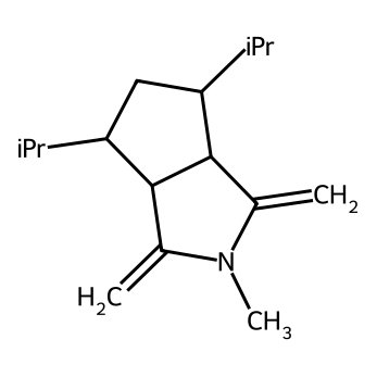 C=C1C2C(C(C)C)CC(C(C)C)C2C(=C)N1C